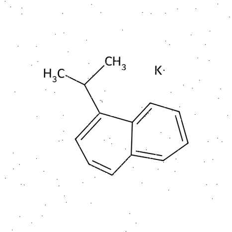 CC(C)c1cccc2ccccc12.[K]